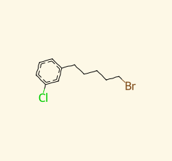 Clc1cccc(CCCCCBr)c1